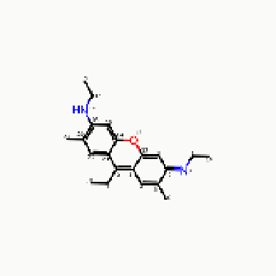 [CH2]Cc1c2cc(C)/c(=N/CC)cc-2oc2cc(NCC)c(C)cc12